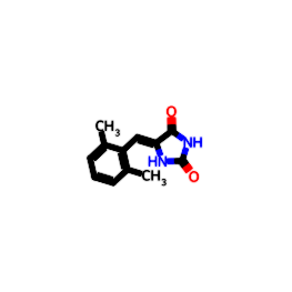 Cc1cccc(C)c1C=C1NC(=O)NC1=O